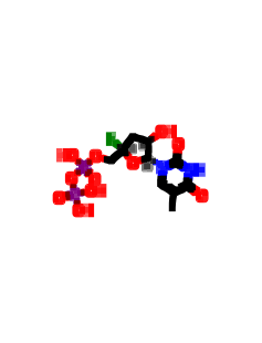 Cc1cn([C@@H]2O[C@](F)(COP(=O)(O)OP(=O)(O)O)C[C@H]2O)c(=O)[nH]c1=O